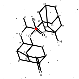 CCC(=O)OC12CC3CC(C1)C(=O)OC(C3)C2OC(C)OC12CC3CC(CC(O)(C3)C1)C2